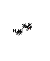 C=C(CCCCCCN1C(=O)CC[C@@H]1/C=C/[C@@H](OC(=O)c1ccccc1OC(C)=O)C(F)(F)c1ccccc1)/N=N\N(N)C(c1ccccc1)(c1ccccc1)c1ccccc1